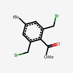 COC(=O)c1c(CBr)cc(C(C)(C)C)cc1CBr